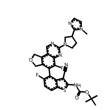 Cn1ccnc1C1CCN(c2ncc3c4c(c(-c5c(F)ccc6sc(NC(=O)OC(C)(C)C)c(C#N)c56)c(F)c3n2)COC4)C1